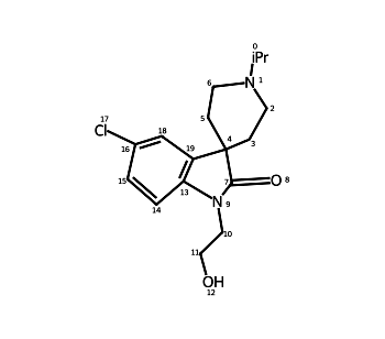 CC(C)N1CCC2(CC1)C(=O)N(CCO)c1ccc(Cl)cc12